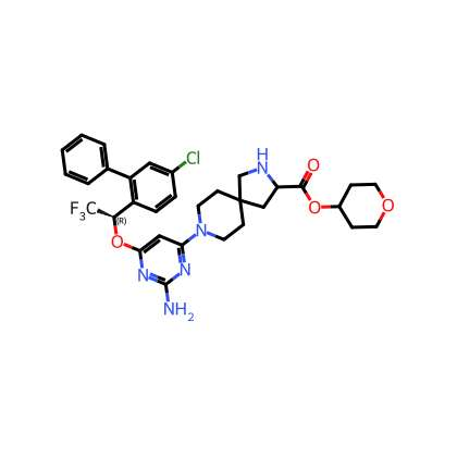 Nc1nc(O[C@H](c2ccc(Cl)cc2-c2ccccc2)C(F)(F)F)cc(N2CCC3(CC2)CNC(C(=O)OC2CCOCC2)C3)n1